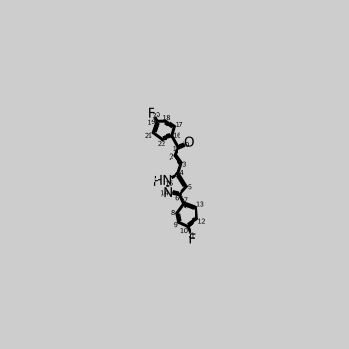 O=C(/C=C/c1cc(-c2ccc(F)cc2)n[nH]1)c1ccc(F)cc1